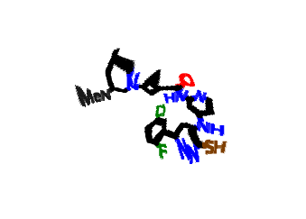 CNC1CC(C)CN(C2CC(C(=O)Nc3cc(Nc4cc(-c5cc(Cl)ccc5F)nnc4S)ccn3)C2)C1